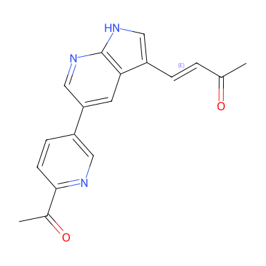 CC(=O)/C=C/c1c[nH]c2ncc(-c3ccc(C(C)=O)nc3)cc12